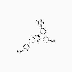 COc1ccc([C@H]2CC[C@H](CN(c3cccc(-n4cc(C)nn4)c3)C(=O)[C@H]3CC[C@H](O)CC3)CC2)cc1C